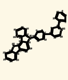 c1ccc(-c2cc(-c3ccc(-n4c5cccnc5c5c6sc7ccccc7c6ccc54)cc3)ccn2)cc1